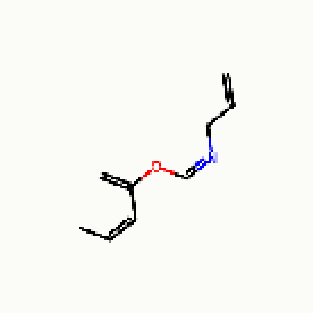 C=CC/N=C\OC(=C)/C=C\C